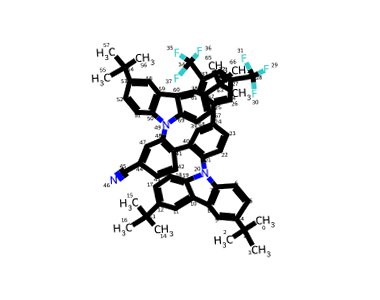 CC(C)(C)c1ccc2c(c1)c1cc(C(C)(C)C)ccc1n2-c1ccc(-c2cc(C(F)(F)F)cc(C(F)(F)F)c2)cc1-c1ccc(C#N)cc1-n1c2ccc(C(C)(C)C)cc2c2cc(C(C)(C)C)ccc21